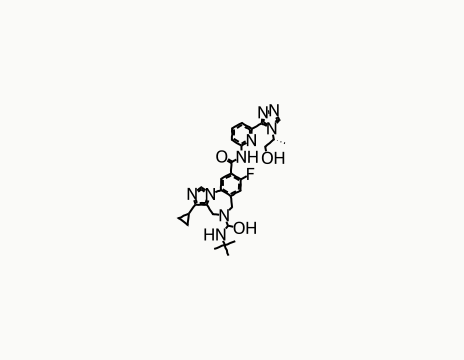 C[C@H](CO)n1cnnc1-c1cccc(NC(=O)c2cc3c(cc2F)CN(C(O)NC(C)(C)C)Cc2c(C4CC4)ncn2-3)n1